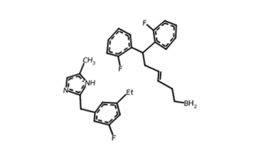 BCCC=CCC(c1ccccc1F)c1ccccc1F.CCc1cc(F)cc(Cc2ncc(C)[nH]2)c1